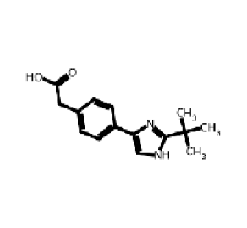 CC(C)(C)c1nc(-c2ccc(CC(=O)O)cc2)c[nH]1